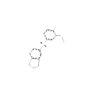 COc1cc(S(=O)(=O)c2ccc3c(c2)CCC3)ccc1O